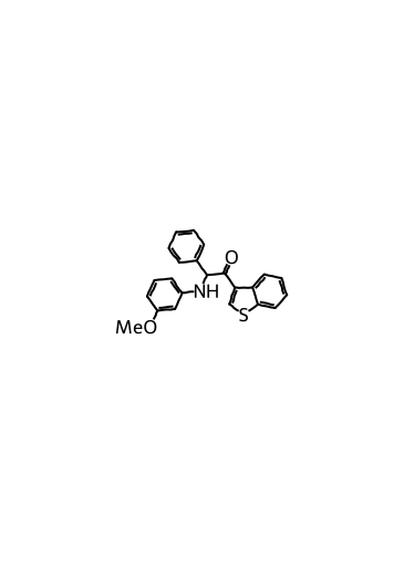 COc1cccc(NC(C(=O)c2csc3ccccc23)c2ccccc2)c1